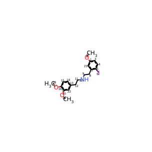 COc1ccc(I)c(CCNCCc2ccc(OC)c(OC)c2)c1